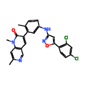 Cc1cc2c(cn1)cc(-c1cc(Nc3cc(-c4ccc(Cl)cc4Cl)on3)ccc1C)c(=O)n2C